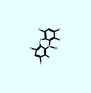 CCP(c1c(F)c(F)cc(F)c1F)c1c(F)c(F)cc(F)c1F